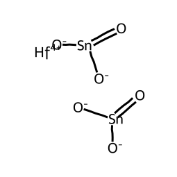 [Hf+4].[O]=[Sn]([O-])[O-].[O]=[Sn]([O-])[O-]